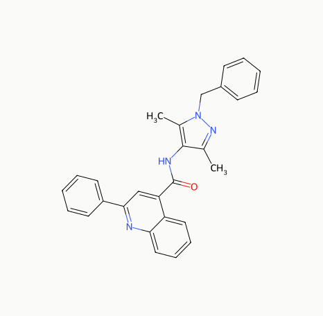 Cc1nn(Cc2ccccc2)c(C)c1NC(=O)c1cc(-c2ccccc2)nc2ccccc12